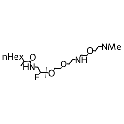 CCCCCCC(C)C(=O)NCC(F)C(C)(C)OCCOCCNCCOCCNC